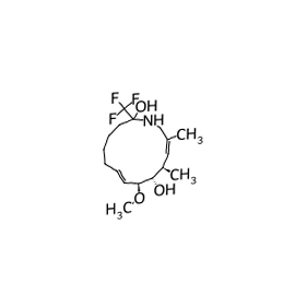 CO[C@H]1/C=C/CCCCC(O)(C(F)(F)F)NC/C(C)=C\[C@@H](C)[C@@H]1O